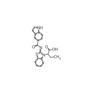 CCC(C(=O)O)n1c(=NC(=O)c2ccc3[nH]ccc3c2)sc2ccccc21